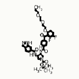 CCCOCCOCCOc1ccc(F)c(F)c1C(=O)c1ccc(C(=O)N[C@@H]2CN(C(=O)OC(C)(C)C)C[C@H]2NC(=O)c2ccc3cn[nH]c3c2)cc1